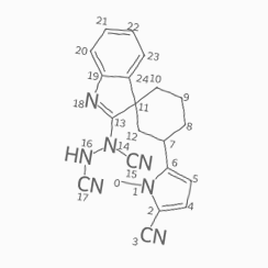 Cn1c(C#N)ccc1C1CCCC2(C1)C(N(C#N)NC#N)=Nc1ccccc12